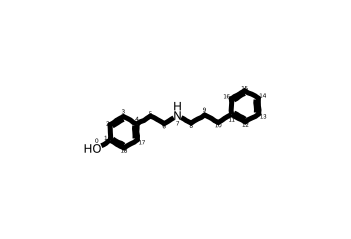 Oc1ccc(CCNCCCc2ccccc2)cc1